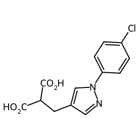 O=C(O)C(Cc1cnn(-c2ccc(Cl)cc2)c1)C(=O)O